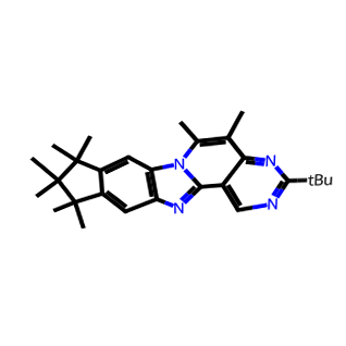 Cc1c(C)n2c3cc4c(cc3nc2c2cnc(C(C)(C)C)nc12)C(C)(C)C(C)(C)C4(C)C